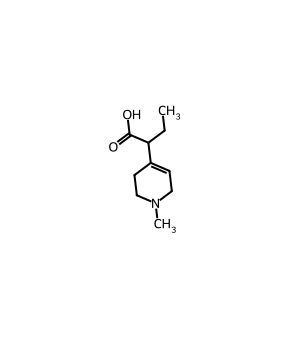 CCC(C(=O)O)C1=CCN(C)CC1